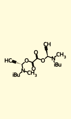 C#C[C@H](OC(=O)C(=O)O[C@@H](C#C)N(C)C(C)CC)N(C)C(C)CC